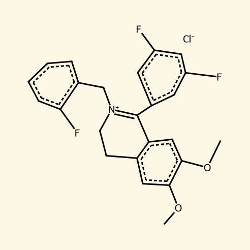 COc1cc2c(cc1OC)C(c1cc(F)cc(F)c1)=[N+](Cc1ccccc1F)CC2.[Cl-]